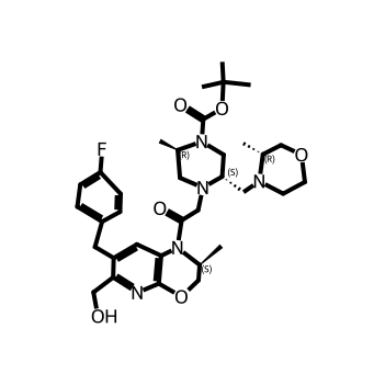 C[C@@H]1COCCN1C[C@H]1CN(C(=O)OC(C)(C)C)[C@H](C)CN1CC(=O)N1c2cc(Cc3ccc(F)cc3)c(CO)nc2OC[C@@H]1C